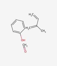 C=CC(=C)C.C=O.Oc1ccccc1